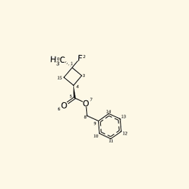 C[C@]1(F)C[C@@H](C(=O)OCc2ccccc2)C1